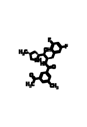 CC(=O)c1cc(C)cc(C(=O)N[C@@H](Cc2cc(F)cc(F)c2)[C@H](O)[C@H]2C[C@@H](C)CN2)c1